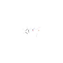 CCCSP(=O)(NC(=O)Nc1c(Cl)c(Cl)c(Cl)c(Cl)c1Cl)OCC